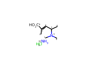 CC(=CC(C)N(C)C)C(=O)O.Cl.N